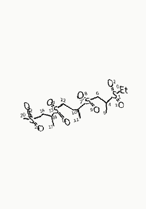 CCS(=O)(=O)C(C)CS(=O)(=O)C(C)CS(=O)(=O)C(C)CS(C)(=O)=O